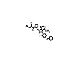 Cc1c(-c2ccc(Oc3ccccc3)cc2F)c2c(N)ncnc2n1C[C@@H]1CCCN1C(=O)C(C#N)=CC1CC1